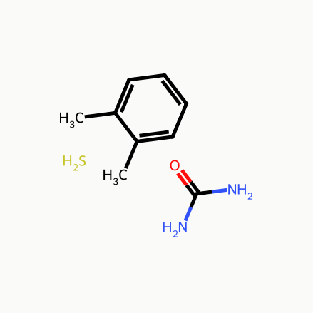 Cc1ccccc1C.NC(N)=O.S